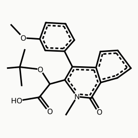 COc1cccc(-c2c(C(OC(C)(C)C)C(=O)O)n(C)c(=O)c3ccccc23)c1